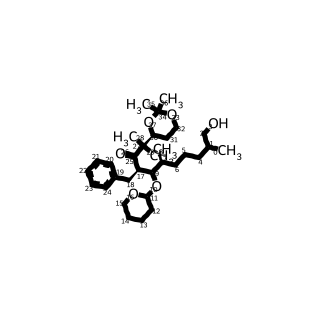 CC(CO)CCC[C@H](C)C(OC1CCCCO1)[C@@H](Cc1ccccc1)C(=O)C(C)(C)[C@@H]1CCOC(C)(C)O1